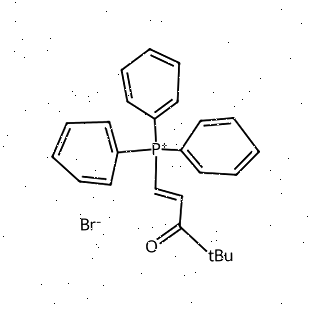 CC(C)(C)C(=O)C=C[P+](c1ccccc1)(c1ccccc1)c1ccccc1.[Br-]